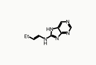 CCC=CNc1nc2ncncc2[nH]1